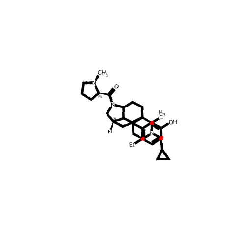 CCc1ccc(O)cc1C12CCN(CC3CC3)C(C)C13CCC1C2[C@@H](CN1C(=O)[C@H]1CCCN1C)C3